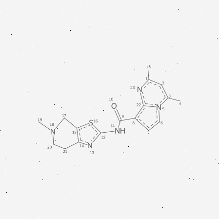 Cc1cc(C)n2ccc(C(=O)Nc3nc4c(s3)CN(C)CC4)c2n1